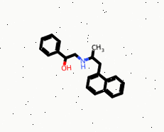 CC(Cc1cccc2ccccc12)NCC(O)c1ccccc1